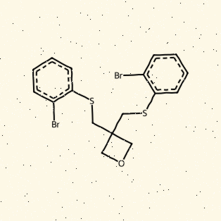 Brc1ccccc1SCC1(CSc2ccccc2Br)COC1